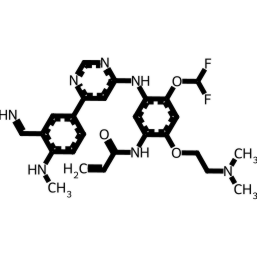 C=CC(=O)Nc1cc(Nc2cc(-c3ccc(NC)c(C=N)c3)ncn2)c(OC(F)F)cc1OCCN(C)C